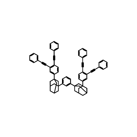 C(#Cc1ccc(C23CC4CC(CC(c5cccc(C67CC8CC(C6)CC(c6ccc(C#Cc9ccccc9)c(C#Cc9ccccc9)c6)(C8)C7)c5)(C4)C2)C3)cc1C#Cc1ccccc1)c1ccccc1